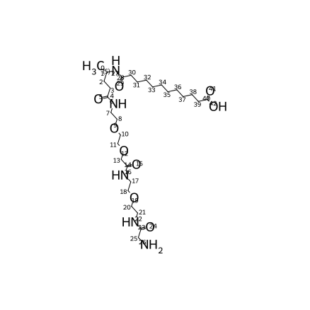 C[C@@H](CCC(=O)NCCOCCOCC(=O)NCCOCCNC(=O)CN)NC(=O)CCCCCCCCCCC(=O)O